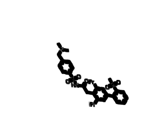 CC(C)c1cc(-c2ccccc2S(C)(=O)=O)cc(C(C)C)c1CC(=O)NS(=O)(=O)c1ccc(CN(C)C)cc1